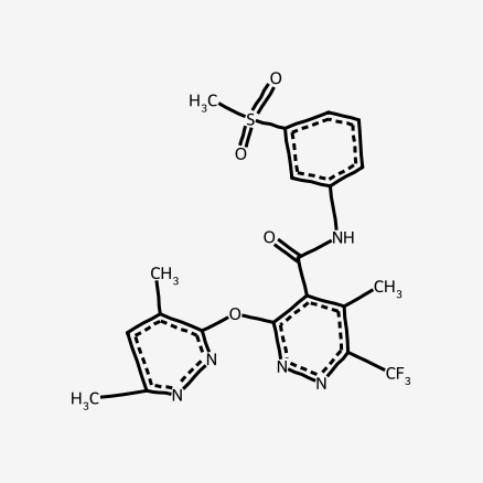 Cc1cc(C)c(Oc2nnc(C(F)(F)F)c(C)c2C(=O)Nc2cccc(S(C)(=O)=O)c2)nn1